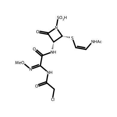 CO/N=C(/NC(=O)CCl)C(=O)N[C@@H]1C(=O)N(S(=O)(=O)O)[C@@H]1S/C=C\NC(C)=O